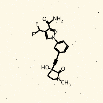 CN1CC[C@@](O)(C#Cc2cccc(-n3cc(C(F)F)c(C(N)=O)n3)c2)C1=O